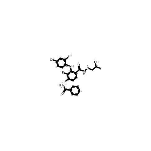 CC(O)CONC(=O)c1ccc(F)c(F)c1Nc1ccc(Cl)cc1F.NC(=O)c1ccccc1